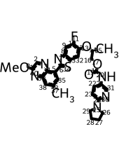 COc1cnc2c(-c3nc4cc(F)c(O[C@@H](C)COC(=O)Nc5ccc(N6CCCC6)nc5)cc4s3)cc(C)cc2n1